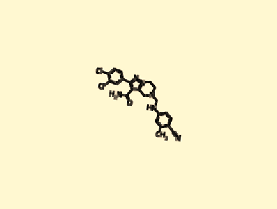 Cc1cc(NCN2CCn3nc(-c4ccc(Cl)c(Cl)c4)c(C(N)=O)c3C2)ccc1C#N